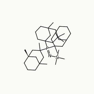 CC1(C)CC2(C)CCCC(P(=N[Si](C)(C)C)(C3(C)CC4CCCC(C4)C3)C3(C)CC4(C)CCC[C@@](C)(C4)C3)(C1)C2